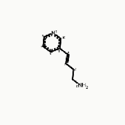 NCCC=Cc1cccnc1